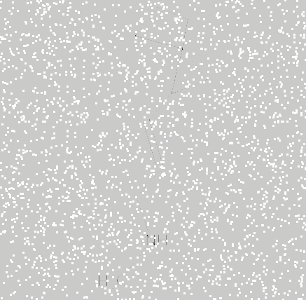 CNC/C=C/C1CC12CCC2